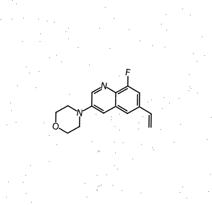 C=Cc1cc(F)c2ncc(N3CCOCC3)cc2c1